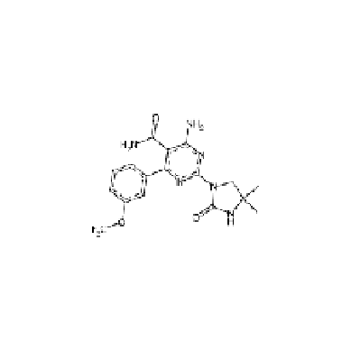 CC1(C)CN(c2nc(N)c(C(N)=O)c(-c3cccc(OC(F)(F)F)c3)n2)C(=O)N1